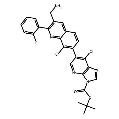 CC(C)(C)OC(=O)n1cnc2c(Cl)c(-c3ccc4cc(CN)c(-c5ccccc5Cl)nc4c3Cl)cnc21